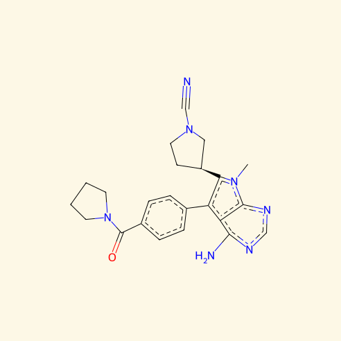 Cn1c([C@H]2CCN(C#N)C2)c(-c2ccc(C(=O)N3CCCC3)cc2)c2c(N)ncnc21